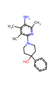 Cc1nc(N2CCC(O)(c3ccccc3)CC2)c(C#N)c(C)c1N